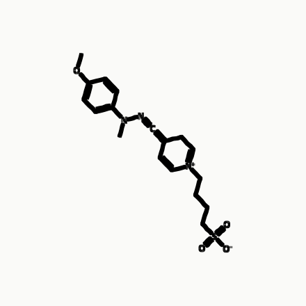 COc1ccc(N(C)N=C=C2C=C[N+](CCCCS(=O)(=O)[O-])=CC2)cc1